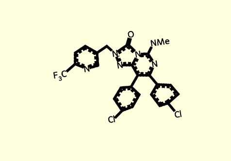 CNc1nc(-c2ccc(Cl)cc2)c(-c2ccc(Cl)cc2)c2nn(Cc3ccc(C(F)(F)F)nc3)c(=O)n12